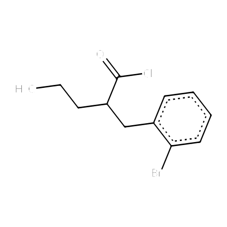 CCCC(Cc1ccccc1Br)C(=O)Cl